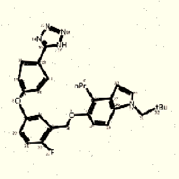 CCCc1c(OCc2cc(Oc3ccc(-c4nnn[nH]4)cc3)ccc2F)ccc2c1ccn2CC(C)(C)C